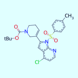 Cc1ccc(S(=O)(=O)n2c(C3=CCCN(C(=O)OC(C)(C)C)C3)cc3c(Cl)ccnc32)cc1